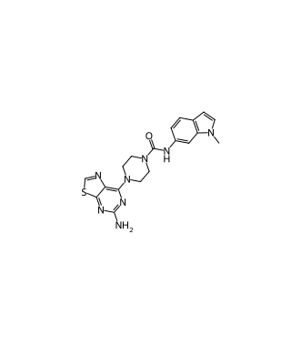 Cn1ccc2ccc(NC(=O)N3CCN(c4nc(N)nc5scnc45)CC3)cc21